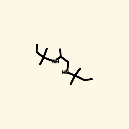 CCC(C)(C)NCC(C)NC(C)(C)CC